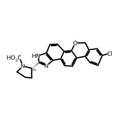 O=C(O)N1CCC[C@H]1c1nc2c(ccc3c4c(ccc32)-c2ccc(Cl)cc2CO4)[nH]1